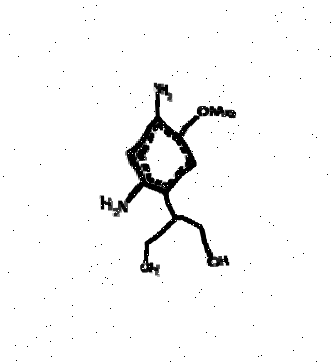 COc1cc(C(CO)CO)c(N)cc1N